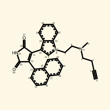 C#CCCN(C)CCn1cc(C2=C(c3cccc4ccccc34)C(=O)NC2=O)c2ccccc21